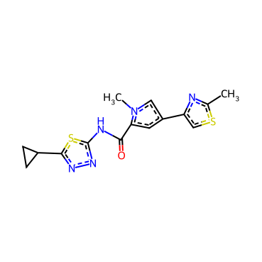 Cc1nc(-c2cc(C(=O)Nc3nnc(C4CC4)s3)n(C)c2)cs1